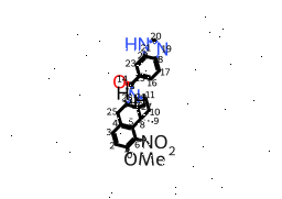 COc1ccc2c(c1[N+](=O)[O-])[C@]1(C)CCN(C(=O)c3ccc4nc[nH]c4c3)[C@H](C2)[C@H]1C